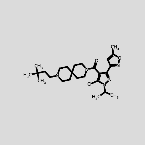 Cc1cc(-c2nn(C(C)C)c(Cl)c2C(=O)N2CCC3(CCN(CCC(C)(C)C)CC3)CC2)no1